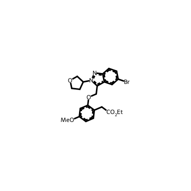 CCOC(=O)Cc1ccc(OC)cc1OCc1c2cc(Br)ccc2nn1C1CCOC1